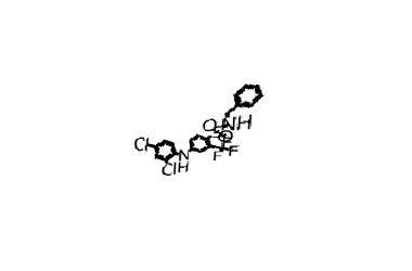 O=S(=O)(NCc1ccccc1)c1ccc(Nc2ccc(Cl)cc2Cl)cc1C(F)(F)F